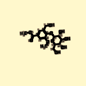 COC(=O)c1cc(CO)c(O[C@@H]2O[C@H](CO)[C@@H](O)[C@H](O)[C@H]2O)c(OC)c1